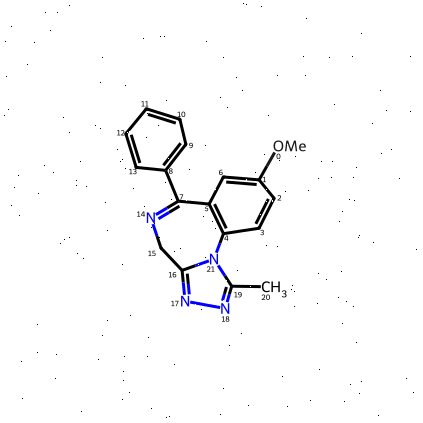 COc1ccc2c(c1)C(c1ccccc1)=NCc1nnc(C)n1-2